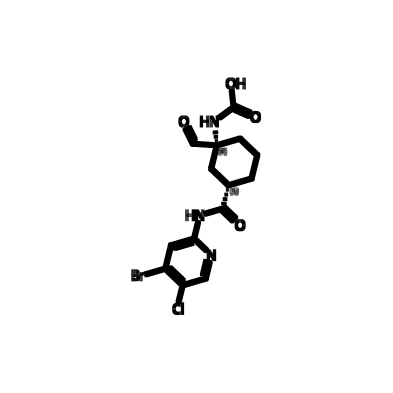 O=C[C@@]1(NC(=O)O)CCC[C@H](C(=O)Nc2cc(Br)c(Cl)cn2)C1